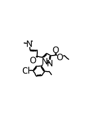 CCOC(=O)c1cc(C(=O)C=CN(C)C)n(-c2cc(Cl)ccc2CC)n1